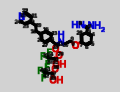 N=C(N)c1cccc(OCCNC(=O)c2ccc(CCc3ccncc3)cc2)c1.O=C(O)C(F)(F)F.O=C(O)C(F)(F)F